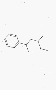 CCC(C)C[C](C)c1ccccc1